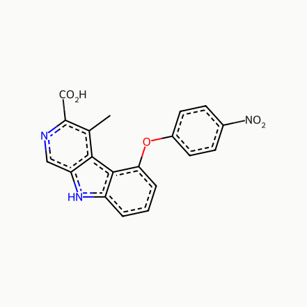 Cc1c(C(=O)O)ncc2[nH]c3cccc(Oc4ccc([N+](=O)[O-])cc4)c3c12